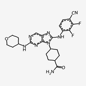 N#Cc1ccc(Nc2nc3cnc(NC4CCOCC4)nc3n2C2CCC(C(N)=O)CC2)c(F)c1F